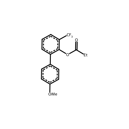 CCC(=O)Oc1c(-c2ccc(OC)cc2)cccc1C(F)(F)F